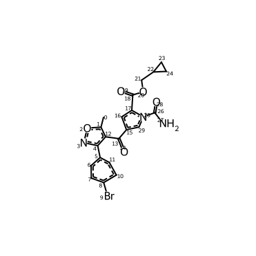 Cc1onc(-c2ccc(Br)cc2)c1C(=O)c1cc(C(=O)OCC2CC2)n(C(N)=O)c1